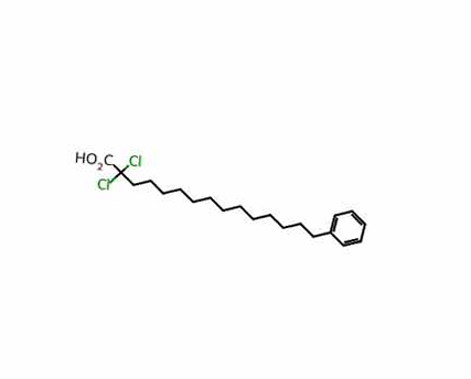 O=C(O)C(Cl)(Cl)CCCCCCCCCCCCCc1ccccc1